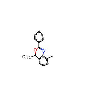 Cc1cccc2c1N=C(c1ccccc1)OC2C=O